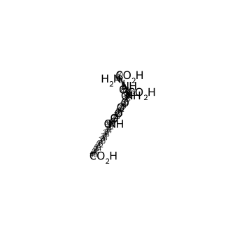 N[C@@H](CCCCNC(=O)CC[C@H](NC(=O)CCOCCOCCOCCOCCNC(=O)CCCCCCCCCCCCCCCCC(=O)O)C(=O)O)C(=O)O